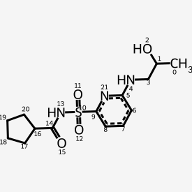 CC(O)CNc1cccc(S(=O)(=O)NC(=O)C2CCCC2)n1